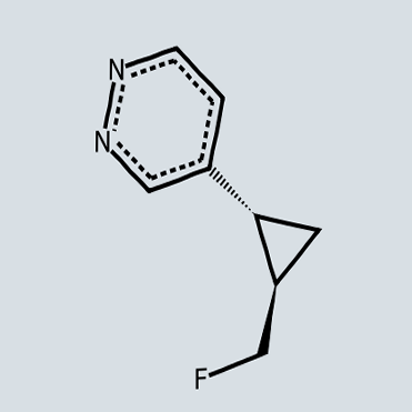 FC[C@@H]1C[C@H]1c1ccnnc1